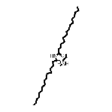 CCCCCCCCCCCCCCCC(=O)NC(=O)CCCCCCCCCCCCCCC.CCCNC